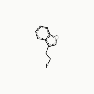 FCCc1coc2ccccc12